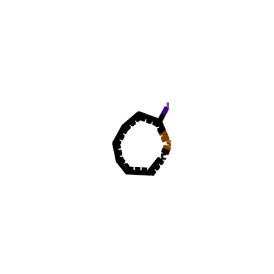 Ic1cccccccs1